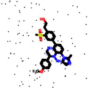 Cc1nccn1-c1ccc(-c2ccc(CCO)c(S(C)(=O)=O)c2)cc1N(N)/C(=C\N)c1ccc(OC(F)(F)F)cc1